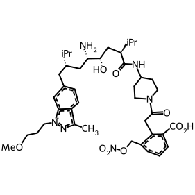 COCCCn1nc(C)c2ccc(C[C@@H](C[C@H](N)[C@@H](O)C[C@H](C(=O)NC3CCN(C(=O)Cc4c(CO[N+](=O)[O-])cccc4C(=O)O)CC3)C(C)C)C(C)C)cc21